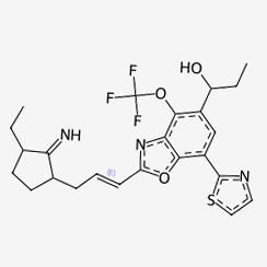 CCC1CCC(C/C=C/c2nc3c(OC(F)(F)F)c(C(O)CC)cc(-c4nccs4)c3o2)C1=N